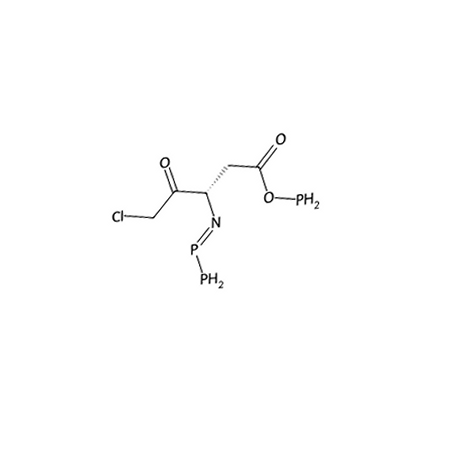 O=C(C[C@H](N=PP)C(=O)CCl)OP